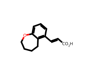 O=C(O)/C=C/c1cccc2c1CCCCO2